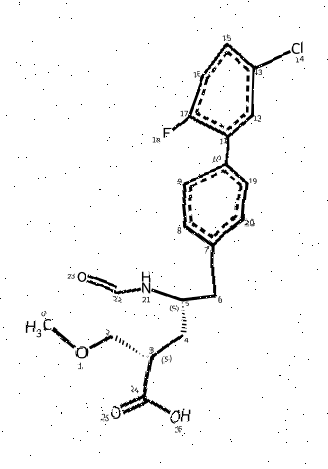 COC[C@H](C[C@@H](Cc1ccc(-c2cc(Cl)ccc2F)cc1)NC=O)C(=O)O